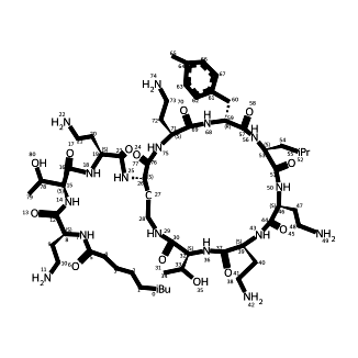 CCC(C)CCCCC(=O)N[C@@H](CCN)C(=O)N[C@H](C(=O)N[C@@H](CCN)C(=O)N[C@H]1CCNC(=O)[C@H](C(C)O)NC(=O)[C@H](CCN)NC(=O)[C@H](CCN)NC(=O)[C@H](CC(C)C)NC(=O)[C@@H](Cc2ccc(C)cc2)NC(=O)[C@H](CCN)NC1=O)C(C)O